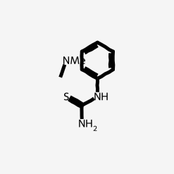 CNC.NC(=S)Nc1ccccc1